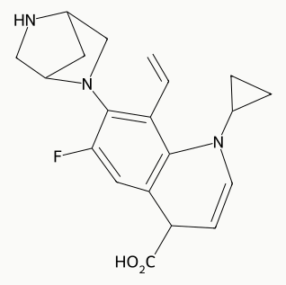 C=Cc1c2c(cc(F)c1N1CC3CC1CN3)C(C(=O)O)C=CN2C1CC1